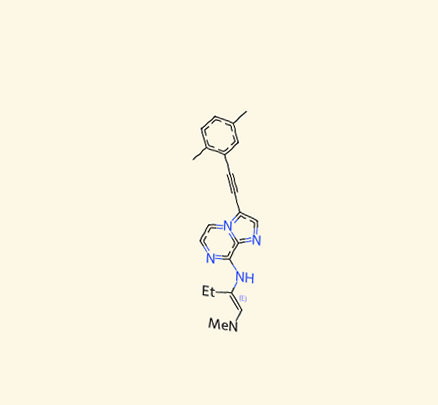 CC/C(=C\NC)Nc1nccn2c(C#Cc3cc(C)ccc3C)cnc12